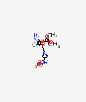 COc1cc(COc2cc(N)c(Cl)cc2C(=O)CCCCN2CCC(CCNS(C)(=O)=O)CC2)cc(OC)c1